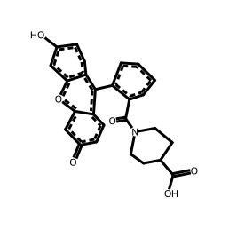 O=C(O)C1CCN(C(=O)c2ccccc2-c2c3ccc(=O)cc-3oc3cc(O)ccc23)CC1